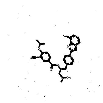 CC(O)CC(Cc1ccc(-c2cn3cccc(Cl)c3n2)cc1)NC(=O)c1ccc(OC(C)C)c(C#N)c1